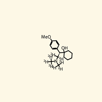 [2H]C([2H])([2H])N(C([2H])([2H])[2H])C([2H])([2H])[C@@H](c1ccc(OC)cc1)C1(O)CCCCC1